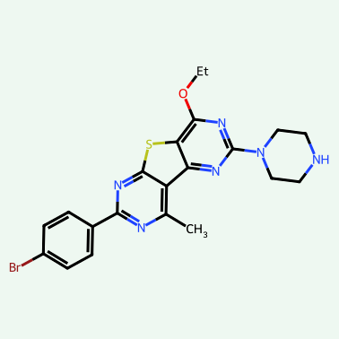 CCOc1nc(N2CCNCC2)nc2c1sc1nc(-c3ccc(Br)cc3)nc(C)c12